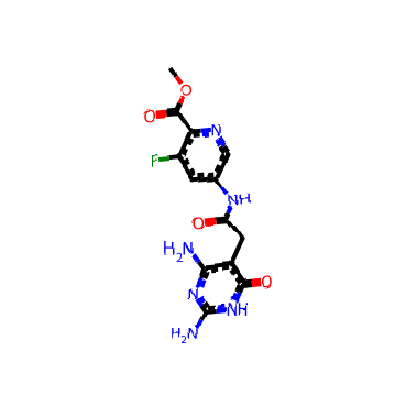 COC(=O)c1ncc(NC(=O)Cc2c(N)nc(N)[nH]c2=O)cc1F